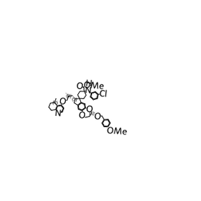 COC(=O)C1(Nc2cccc(Cl)c2)CCC2(CC1)c1cc3c(cc1C[C@@H]2C[C@@H](C)COc1ccnc2c1[C@H](C)CCC2)OCC[C@@H](COCc1ccc(OC)cc1)O3